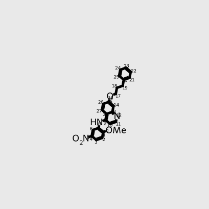 COc1ccc([N+](=O)[O-])cc1Nc1ccnc2cc(OCCCc3ccccc3)ccc12